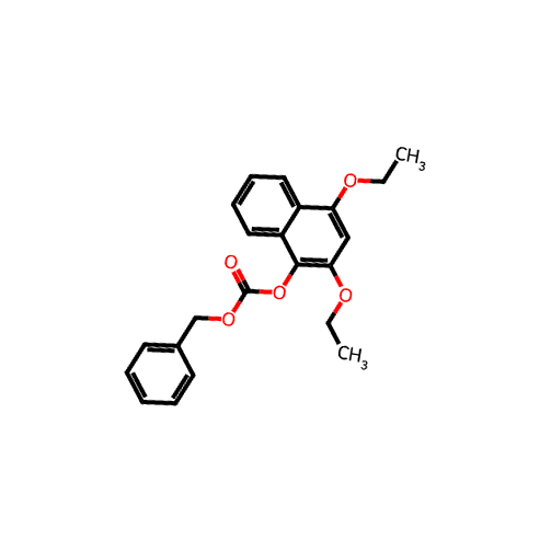 CCOc1cc(OCC)c2ccccc2c1OC(=O)OCc1ccccc1